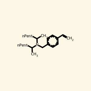 C=Cc1ccc(CN(C(C)CCCCC)C(C)CCCCC)cc1